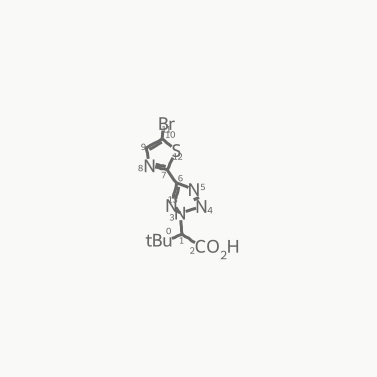 CC(C)(C)C(C(=O)O)n1nnc(-c2ncc(Br)s2)n1